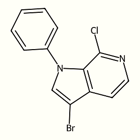 Clc1nccc2c(Br)cn(-c3ccccc3)c12